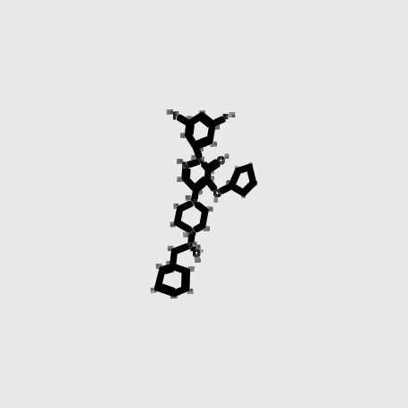 O=c1c(OC2CCCC2)c(N2CCN([S+]([O-])Cc3ccccc3)CC2)cnn1-c1cc(F)cc(F)c1